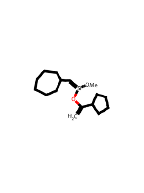 C=C(O[Si](=CC1CCCCCC1)OC)C1CCCC1